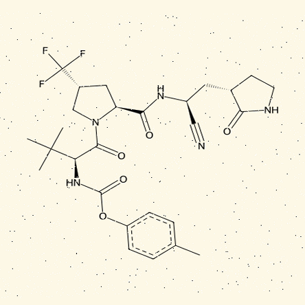 Cc1ccc(OC(=O)N[C@H](C(=O)N2C[C@H](C(F)(F)F)C[C@H]2C(=O)N[C@H](C#N)C[C@@H]2CCNC2=O)C(C)(C)C)cc1